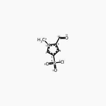 Cn1cc(S(=O)(=O)Cl)cc1C=O